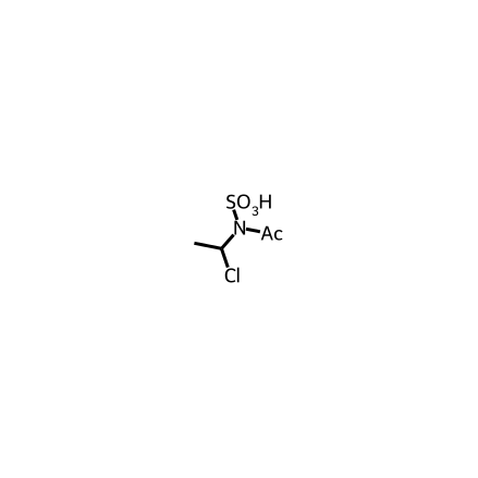 CC(=O)N(C(C)Cl)S(=O)(=O)O